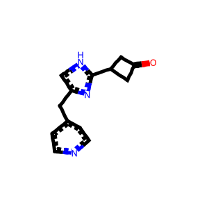 O=C1CC(c2nc(Cc3ccncc3)c[nH]2)C1